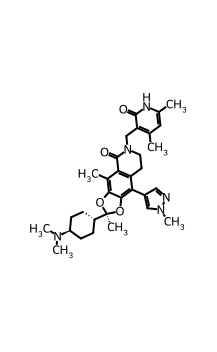 Cc1cc(C)c(CN2CCc3c(c(C)c4c(c3-c3cnn(C)c3)O[C@@](C)([C@H]3CC[C@H](N(C)C)CC3)O4)C2=O)c(=O)[nH]1